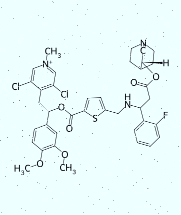 COc1ccc([C@H](Cc2c(Cl)c[n+](C)cc2Cl)OC(=O)c2ccc(CNC(CC(=O)O[C@H]3CN4CCC3CC4)c3ccccc3F)s2)cc1OC